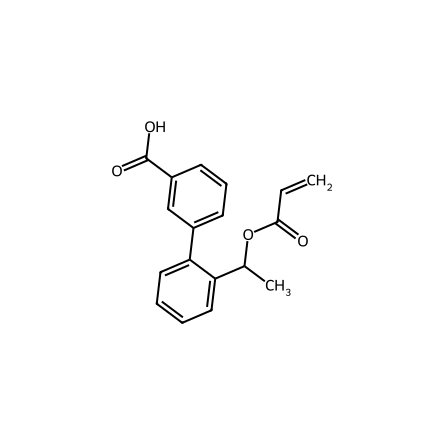 C=CC(=O)OC(C)c1ccccc1-c1cccc(C(=O)O)c1